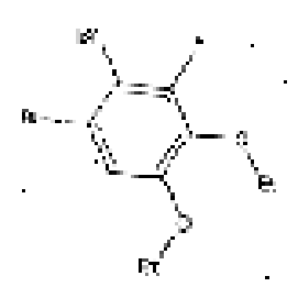 CCOc1cc(Br)c(Br)c(F)c1OCC